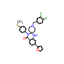 CSc1ccc(N2C(=O)c3ccc(-c4ccco4)cc3NC23CCN(Cc2ccc(F)c(F)c2)CC3)cc1